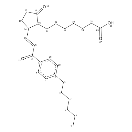 CCCCCCc1ccc(C(=O)/C=C/C2CCC(=O)C2CCCCCCC(=O)O)cc1